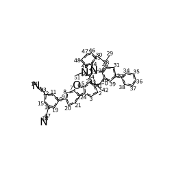 Cc1ccc2c(oc3cc(-c4cc(C#N)cc(C#N)c4)ccc32)c1-c1n(-c2c(C(C)C)cc(-c3ccccc3)cc2C(C)C)c2ccccc2[n+]1C